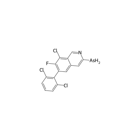 Fc1c(-c2c(Cl)cccc2Cl)cc2cc([AsH2])ncc2c1Cl